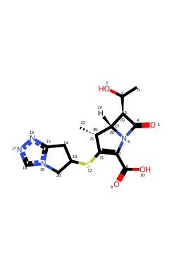 CC(O)[C@H]1C(=O)N2C(C(=O)O)=C(SC3Cc4nncn4C3)[C@H](C)[C@H]12